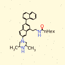 CCCCCCC(=O)NCCc1cc(-c2cccc3ccccc23)cc2ccc(N3CC(C)NC(C)C3)cc12